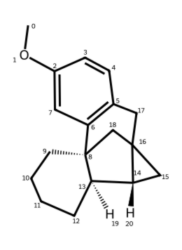 COc1ccc2c(c1)[C@]13CCCC[C@@H]1[C@H]1CC1(C2)C3